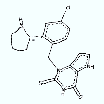 O=c1[nH]c(=S)n(Cc2ccc(Cl)cc2[C@@H]2CCCN2)c2cc[nH]c12